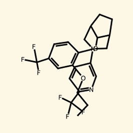 CCCOc1cc(C(F)(F)F)ccc1OC1C2CCC1CN(c1ccc(C(F)(F)F)nc1)C2